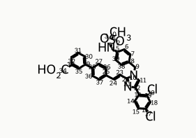 CS(=O)(=O)Nc1ccc(Cn2cc(-c3ccc(Cl)cc3Cl)nc2C=Cc2ccc(-c3cccc(C(=O)O)c3)cc2)cc1